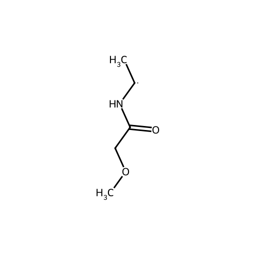 C[CH]NC(=O)COC